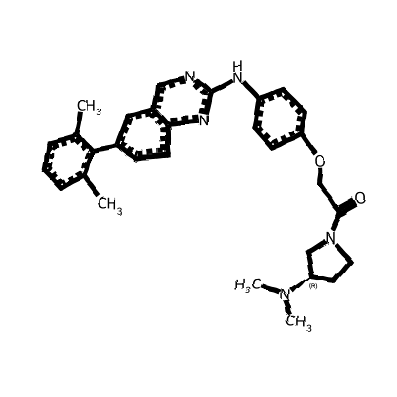 Cc1cccc(C)c1-c1ccc2nc(Nc3ccc(OCC(=O)N4CC[C@@H](N(C)C)C4)cc3)ncc2c1